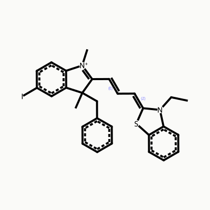 CCN1/C(=C/C=C/C2=[N+](C)c3ccc(I)cc3C2(C)Cc2ccccc2)Sc2ccccc21